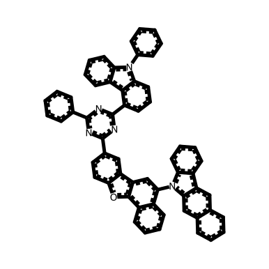 c1ccc(-c2nc(-c3ccc4oc5c6ccccc6c(-n6c7ccccc7c7cc8ccccc8cc76)cc5c4c3)nc(-c3cccc4c3c3ccccc3n4-c3ccccc3)n2)cc1